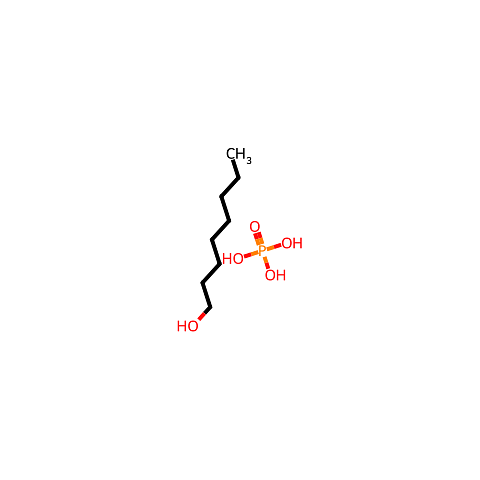 CCCCCCCCO.O=P(O)(O)O